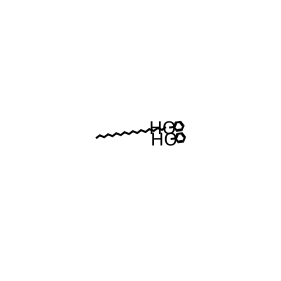 CCCCCCCCCCCCCCCCCC.Oc1ccccc1.Oc1ccccc1